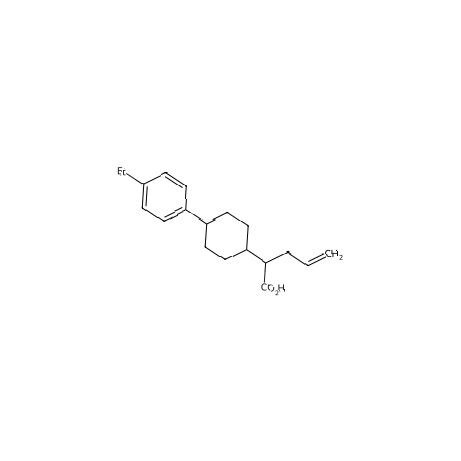 C=CCC(C(=O)O)C1CCC(c2ccc(CC)cc2)CC1